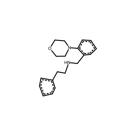 c1ccc(CCNCc2ccccc2N2CCOCC2)cc1